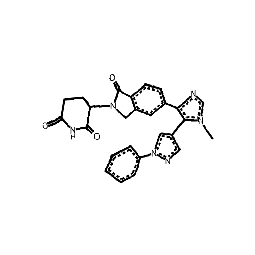 Cn1cnc(-c2ccc3c(c2)CN(C2CCC(=O)NC2=O)C3=O)c1-c1cnn(-c2ccccc2)c1